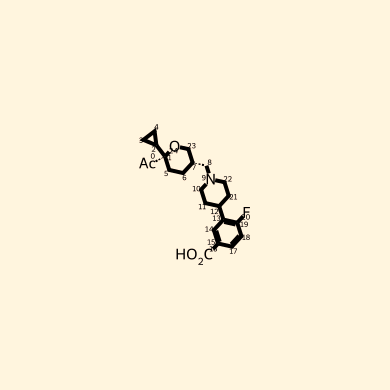 CC(=O)[C@@]1(C2CC2)CC[C@@H](CN2CCC(c3cc(C(=O)O)ccc3F)CC2)CO1